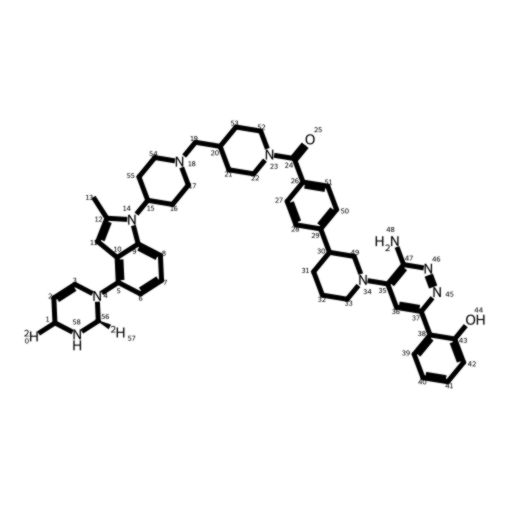 [2H]C1C=CN(c2cccc3c2cc(C)n3C2CCN(CC3CCN(C(=O)c4ccc(C5CCCN(c6cc(-c7ccccc7O)nnc6N)C5)cc4)CC3)CC2)[C@@H]([2H])N1